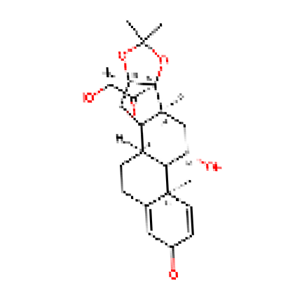 CC1(C)O[C@@H]2CC3[C@@H]4CCC5=CC(=O)C=C[C@]5(C)C4[C@@H](O)C[C@]3(C)[C@]2(C(=O)CO)O1